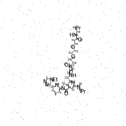 CCn1cnnc1-c1cccc(N2Cc3c(cc(N(C)C(C)C)nc3CNCC[NH+]([O-])CCOCCOCCC(=O)NCC(C)C)C2=O)n1